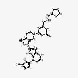 C=C1C=C(c2ccc3[nH]nc(-c4nc5c(-c6ccc(Cl)s6)ccnc5[nH]4)c3n2)C=C(CNCC2CCCC2)C1